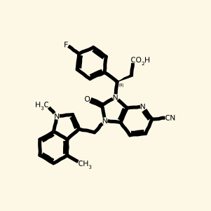 Cc1cccc2c1c(Cn1c(=O)n([C@H](CC(=O)O)c3ccc(F)cc3)c3nc(C#N)ccc31)cn2C